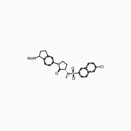 CNC1CCc2cc(N3CC[C@H](N(C)S(=O)(=O)c4ccc5cc(Cl)ccc5c4)C3=O)ccc21